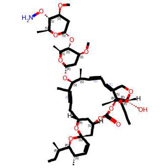 CC[C@@H](C)[C@H]1O[C@]2(C=C[C@@H]1C)C[C@@H]1C[C@@H](C/C=C(\C)[C@@H](O[C@H]3C[C@H](OC)[C@@H](O[C@H]4C[C@H](OC)[C@@H](ON)[C@H](C)O4)[C@H](C)O3)[C@@H](C)/C=C/C=C3\CO[C@@H]4[C@H](O)C(C)=C[C@@H](C)[C@]34OC(=O)O1)O2